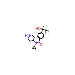 C[C@](O)(c1ccc(C(=O)N(C2CCNCC2)C2CC2)cc1)C(F)(F)F